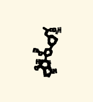 CCOc1cc(-c2cccc(/C=C(/C)C(=O)O)c2)ccc1-c1nc2[nH]cnc2c(=O)[nH]1